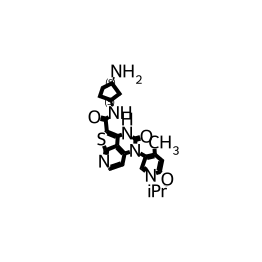 Cc1cc(OC(C)C)ncc1N1C(=O)Nc2c(C(=O)N[C@H]3CC[C@H](N)C3)sc3nccc1c23